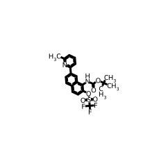 Cc1cccc(-c2ccc3ccc(OS(=O)(=O)C(F)(F)F)c(NC(=O)OC(C)(C)C)c3c2)n1